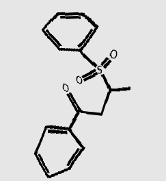 CC(CC(=O)c1ccccc1)S(=O)(=O)c1ccccc1